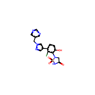 O=C1CN(c2c(O)ccc(-c3cnn(Cc4cncnc4)c3)c2F)S(=O)(=O)N1